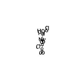 O=C([O-])c1ccc(-c2ccc(S(=O)(=O)c3ccc(CCNC[C@H](O)c4cccc(Cl)c4)cc3)cc2Cl)cc1.[Na+]